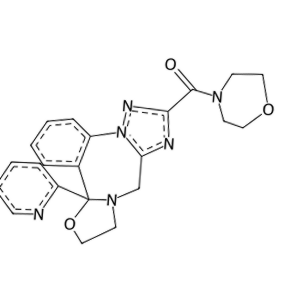 O=C(c1nc2n(n1)-c1ccccc1C1(c3ccccn3)OCCN1C2)N1CCOCC1